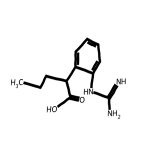 CCCC(C(=O)O)c1ccccc1NC(=N)N